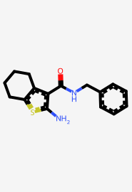 Nc1sc2c(c1C(=O)NCc1ccccc1)CCCC2